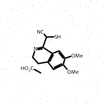 CC(=O)O.COc1cc2c(cc1OC)C(C(S)C#N)=NCC2